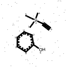 C#C[Si](C)(C)C.Oc1ccccc1